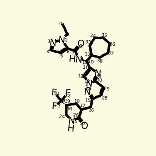 CCn1nccc1C(=O)N[C@H](c1cn2nc(CC3C[C@@H](C(F)(F)F)CNC3=O)ccc2n1)C1CCCCCC1